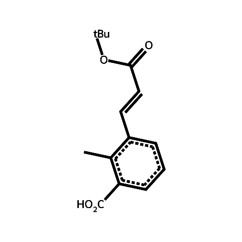 Cc1c(C=CC(=O)OC(C)(C)C)cccc1C(=O)O